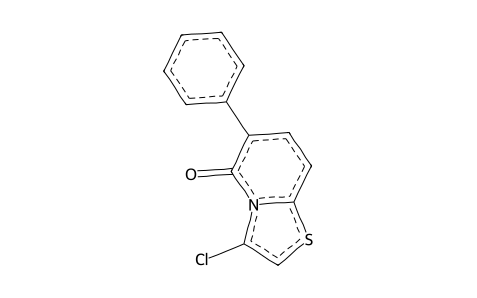 O=c1c(-c2ccccc2)ccc2scc(Cl)n12